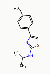 Cc1ccc(-c2csc(NC(C)C)n2)cc1